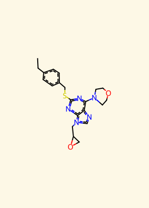 CCc1ccc(CSc2nc(N3CCOCC3)c3ncn(CC4CO4)c3n2)cc1